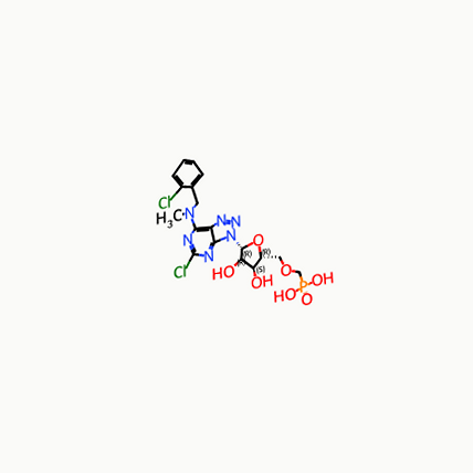 CN(Cc1ccccc1Cl)c1nc(Cl)nc2c1nnn2[C@@H]1O[C@H](COCP(=O)(O)O)[C@@H](O)[C@H]1O